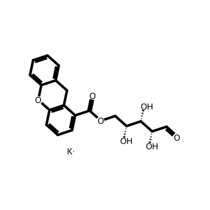 O=C[C@H](O)[C@@H](O)[C@H](O)COC(=O)c1cccc2c1Cc1ccccc1O2.[K]